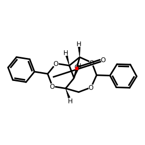 O=C1O[C@H]2[C@@H]3OC(c4ccccc4)O[C@H]2COC(c2ccccc2)O[C@H]13